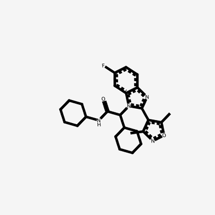 Cc1noc(C)c1-c1nc2ccc(F)cc2n1C(C(=O)NC1CCCCC1)C1CCCCC1